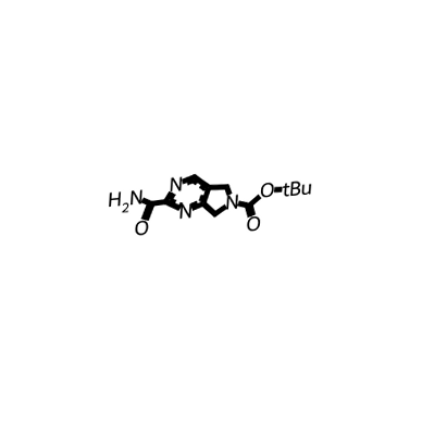 CC(C)(C)OC(=O)N1Cc2cnc(C(N)=O)nc2C1